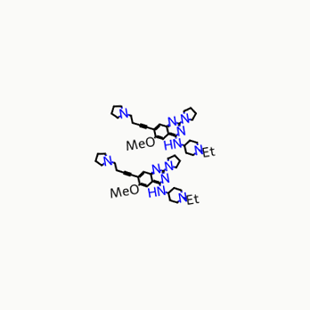 CCN1CCC(Nc2nc(N3CCCC3)nc3cc(C#CCCN4CCCC4)c(OC)cc23)CC1.CCN1CCC(Nc2nc(N3CCCC3)nc3cc(C#CCCN4CCCC4)c(OC)cc23)CC1